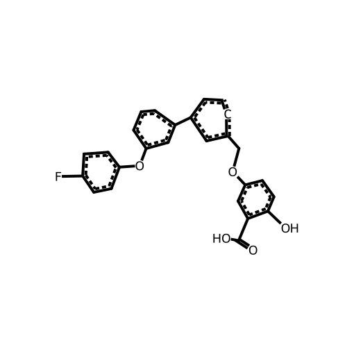 O=C(O)c1cc(OCc2cccc(-c3cccc(Oc4ccc(F)cc4)c3)c2)ccc1O